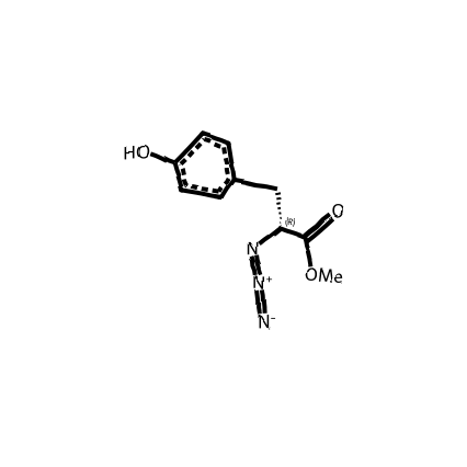 COC(=O)[C@@H](Cc1ccc(O)cc1)N=[N+]=[N-]